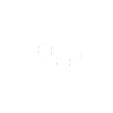 CC1CCCC(N2CC=CC(O)C2)C1